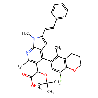 Cc1nc2c(cc(C=Cc3ccccc3)n2C)c(-c2cc(F)c3c(c2C)CCCO3)c1C(OC(C)(C)C)C(=O)O